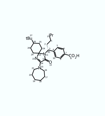 CC(C)CC[C@H](c1ccc(C(=O)O)cc1)N1C(=O)C(N2CCCCCC2)=NC12CCC(C(C)(C)C)CC2